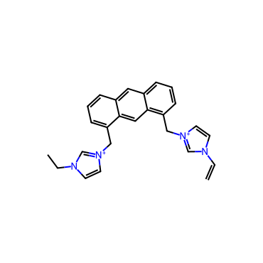 C=Cn1cc[n+](Cc2cccc3cc4cccc(C[n+]5ccn(CC)c5)c4cc23)c1